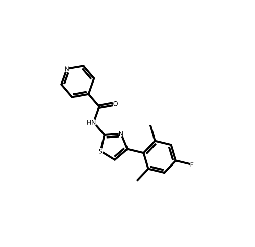 Cc1cc(F)cc(C)c1-c1csc(NC(=O)c2ccncc2)n1